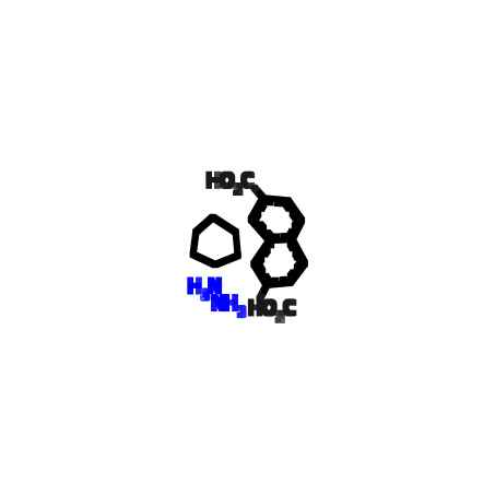 C1CCCCC1.N.N.O=C(O)c1ccc2ccc(C(=O)O)cc2c1